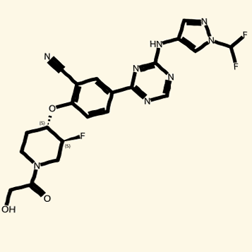 N#Cc1cc(-c2ncnc(Nc3cnn(C(F)F)c3)n2)ccc1O[C@H]1CCN(C(=O)CO)C[C@@H]1F